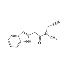 CN(CC#N)C(=O)[CH]c1cc2ccccc2[nH]1